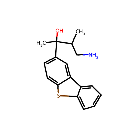 CC(CN)C(C)(O)c1ccc2sc3ccccc3c2c1